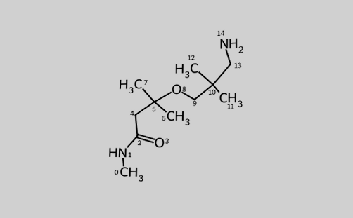 CNC(=O)CC(C)(C)OCC(C)(C)CN